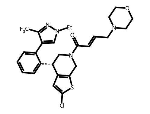 CCn1cc(-c2ccccc2[C@@H]2CN(C(=O)/C=C/CN3CCOCC3)Cc3sc(Cl)cc32)c(C(F)(F)F)n1